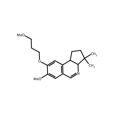 COCCCOc1cc2c(cc1OC)C=NC1C2CCC1(C)C